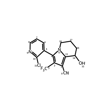 N#Cc1c(C(F)(F)F)c(-c2cccnc2Cl)n2c1C(O)CCC2